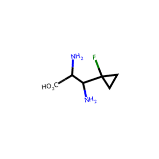 NC(C(=O)O)C(N)C1(F)CC1